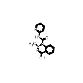 CN1N=C(O)c2ccccc2N1C(=O)Nc1ccccn1